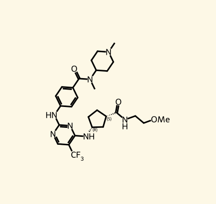 COCCNC(=O)[C@H]1CC[C@@H](Nc2nc(Nc3ccc(C(=O)N(C)C4CCN(C)CC4)cc3)ncc2C(F)(F)F)C1